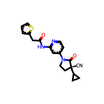 N#C[C@@]1(C2CC2)CCN(c2ccnc(NC(=O)Cc3cccs3)c2)C1=O